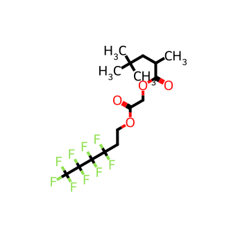 CC(CC(C)(C)C)C(=O)OCC(=O)OCCC(F)(F)C(F)(F)C(F)(F)C(F)(F)F